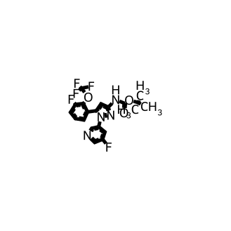 CC(C)(C)OC(=O)Nc1cc(-c2cccc(F)c2OC(F)(F)F)n(-c2cncc(F)c2)n1